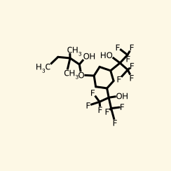 CCC(C)(C)C(O)OC1CC(C(O)(C(F)(F)F)C(F)(F)F)CC(C(O)(C(F)(F)F)C(F)(F)F)C1